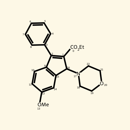 CCOC(=O)C1=C(c2ccccc2)c2ccc(OC)cc2C1N1CCOCC1